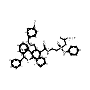 CCOC(=O)C(C)CP(=O)(CCNC(=O)c1c2c(c(OC(c3ccccc3)c3ccccc3)c3ncccc13)C(=O)N(Cc1ccc(F)cc1)C2)Oc1ccccc1